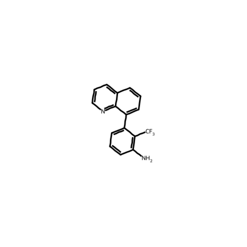 Nc1cccc(-c2cccc3cccnc23)c1C(F)(F)F